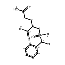 O=C(O)CCC(CP(=O)(O)C(O)c1ccccc1)C(=O)O